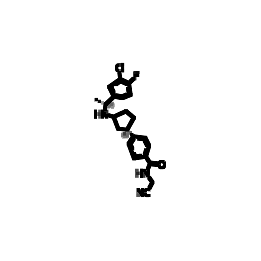 C[C@@H](NC1CC[C@H](c2ccc(C(=O)NCC#N)cc2)C1)c1ccc(F)c(Cl)c1